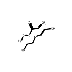 C=CC(=O)OOCC.OCCOCCO